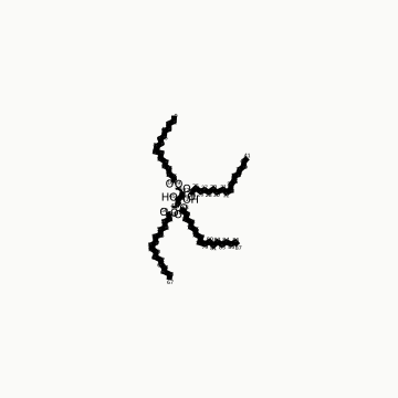 CCCCCCCC/C=C\CCCCCCCC(=O)OC[C@@H](OC(=O)CCCCCCC/C=C\CCCCCCCC)[C@@H](O)[C@H](O)[C@@H](COC(=O)CCCCCCC/C=C\CCCCCCCC)OC(=O)CCCCCCC/C=C\CCCCCCCC